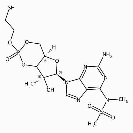 CN(c1nc(N)nc2c1ncn2[C@@H]1O[C@@H]2COP(=O)(OCCS)OC2[C@]1(C)O)S(C)(=O)=O